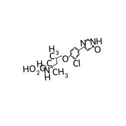 C[C@H](COc1ccc(-c2cc(=O)[nH]cn2)cc1Cl)CC(C)(C)NC(=O)O